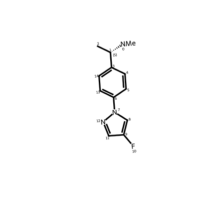 CN[C@@H](C)c1ccc(-n2cc(F)cn2)cc1